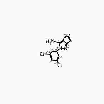 Nc1c2sccc2nn1-c1cc(Cl)cc(Cl)c1